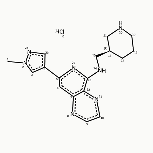 Cl.Cn1cc(-c2cc3nccnc3c(NC[C@@H]3CCCNC3)n2)cn1